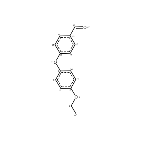 CCOc1ccc(Oc2ccc([C]=O)cc2)cc1